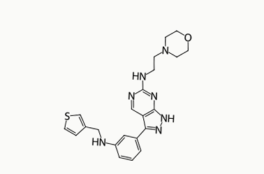 c1cc(NCc2ccsc2)cc(-c2n[nH]c3nc(NCCN4CCOCC4)ncc23)c1